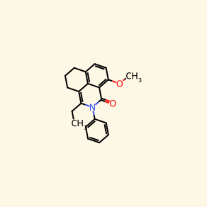 CCc1c2c3c(ccc(OC)c3c(=O)n1-c1ccccc1)CCC2